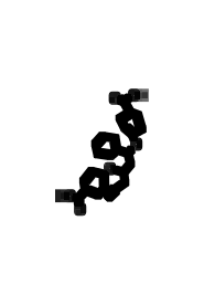 C#CCC(CC(Oc1ccc(C(=O)O)cc1)c1ccccc1)Oc1ccc(C(=O)O)cc1